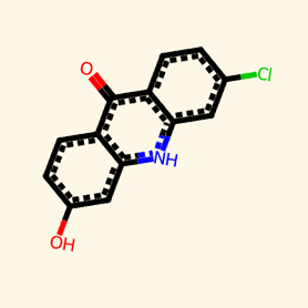 O=c1c2ccc(O)cc2[nH]c2cc(Cl)ccc12